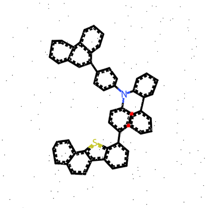 c1ccc(-c2ccccc2N(c2ccc(-c3cc4ccccc4c4ccccc34)cc2)c2ccc(-c3cccc4c3sc3c5ccccc5ccc43)cc2)cc1